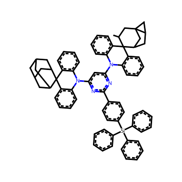 CC1CC23CC2CC(C3)C12c1ccccc1N(c1cc(N3c4ccccc4C4(c5ccccc53)C3CC5CC(C3)CC4C5)nc(-c3ccc([Si](c4ccccc4)(c4ccccc4)c4ccccc4)cc3)n1)c1ccccc12